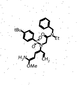 C=C/C(=C\C=C(/N)OC)N(CC(=O)N(CC)Cc1ccccc1)S(=O)(=O)c1ccc(C(C)(C)C)cc1